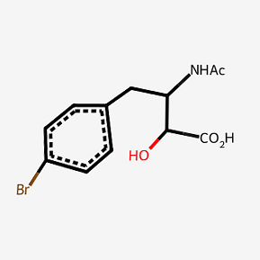 CC(=O)NC(Cc1ccc(Br)cc1)C(O)C(=O)O